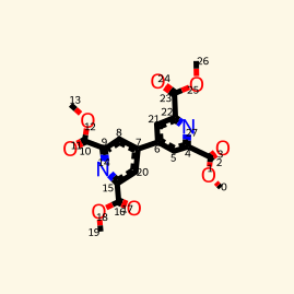 COC(=O)c1cc(-c2cc(C(=O)OC)nc(C(=O)OC)c2)cc(C(=O)OC)n1